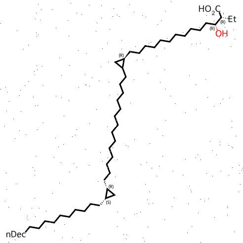 CCCCCCCCCCCCCCCCCCCC[C@H]1C[C@H]1CCCCCCCCCCCCCCC1C[C@H]1CCCCCCCCCCC[C@@H](O)[C@@H](CC)C(=O)O